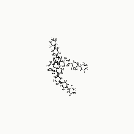 c1ccc(-c2ccc(-c3ccc(-c4nc(-c5ccc(-c6ccccc6)cc5)nc(-c5cccc6oc7c(-c8cccc(-c9ccc(-c%10ccccc%10)cc9)c8)cccc7c56)n4)cc3)cc2)cc1